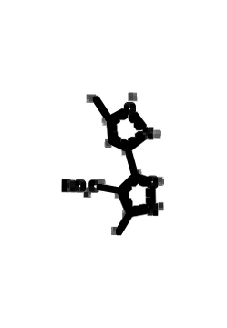 CCOC(=O)c1c(C)noc1-c1cc(C)on1